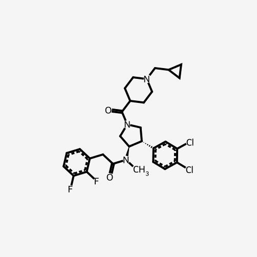 CN(C(=O)Cc1cccc(F)c1F)[C@H]1CN(C(=O)C2CCN(CC3CC3)CC2)C[C@@H]1c1ccc(Cl)c(Cl)c1